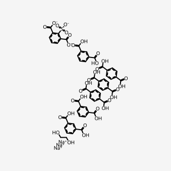 O=C(O)c1ccc(C(=O)O)cc1.O=C(O)c1ccc(C(=O)O)cc1.O=C(O)c1ccc(C(=O)O)cc1.O=C(O)c1cccc(C(=O)O)c1.O=C(O)c1cccc(C(=O)O)c1.O=C(O)c1cccc(C(=O)O)c1.O=C([O-])c1cccc(C(=O)[O-])c1S(=O)(=O)[O-].OCCO.[Na+].[Na+].[Na+]